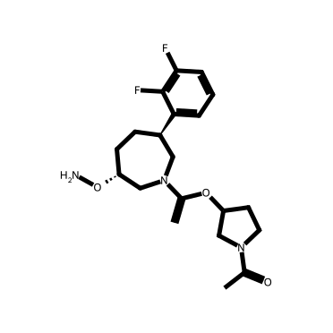 C=C(OC1CCN(C(C)=O)C1)N1C[C@H](ON)CC[C@@H](c2cccc(F)c2F)C1